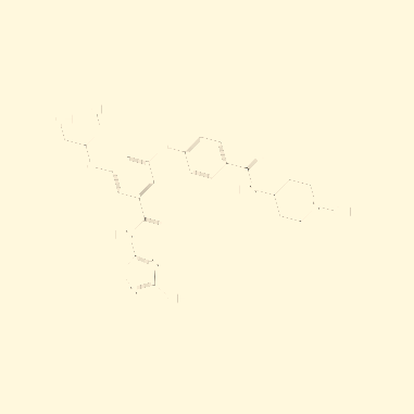 CCC(OC)Oc1cc(Oc2ccc(C(=O)NC3CCN(C)CC3)cc2)cc(C(=O)Nc2nc(C)ns2)c1